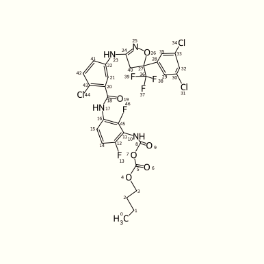 CCCCOC(=O)OC(=O)Nc1c(F)ccc(NC(=O)c2cc(NC3=NOC(c4cc(Cl)cc(Cl)c4)(C(F)(F)F)C3)ccc2Cl)c1F